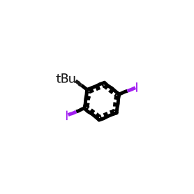 CC(C)(C)c1cc(I)ccc1I